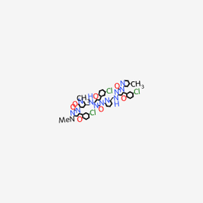 CNc1nc(=O)n(-c2cc(CNc3nc(=O)n(-c4cccc(CNc5nc(=O)n(-c6cc(C)ccn6)c6c5oc5ccc(Cl)cc56)n4)c4c3oc3ccc(Cl)cc34)cn(C)c2=O)c2c1oc1ccc(Cl)cc12